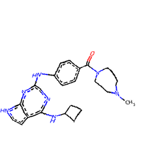 CN1CCN(C(=O)c2ccc(Nc3nc(NC4CCC4)c4cc[nH]c4n3)cc2)CC1